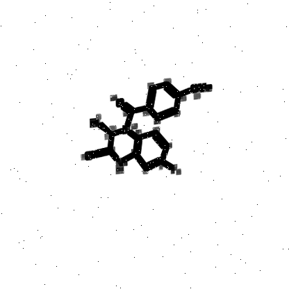 CC[C@@H]1C(=O)Nc2cc(F)ccc2N1C(=O)c1ccc(OC)cc1